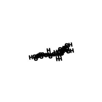 O=C(O)CN1CCN(CC(=O)O)C(Cc2ccc(NC(=S)NCCOCCC(=O)NCCOCCOC(=O)Oc3ccc(C(=O)O)cc3)cc2)N(CC(=O)O)C1